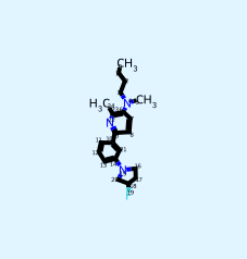 CCCCN(C)c1ccc(-c2cccc(N3CCC(F)C3)c2)nc1C